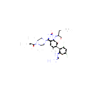 C=CC(=O)N1[C@H](C)CN(c2nc(=O)n3c4c(c(-c5c(F)cc(F)c6sc(N)nc56)c(C(F)(F)F)cc24)OCC3COC)C[C@@H]1C